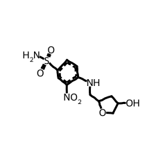 NS(=O)(=O)c1ccc(NCC2CC(O)CO2)c([N+](=O)[O-])c1